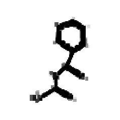 NC(=O)[N]C(=O)c1ccccc1